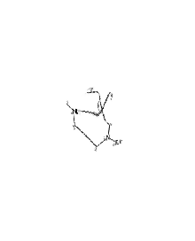 CCN1CCN(C)C(C)(C)C1